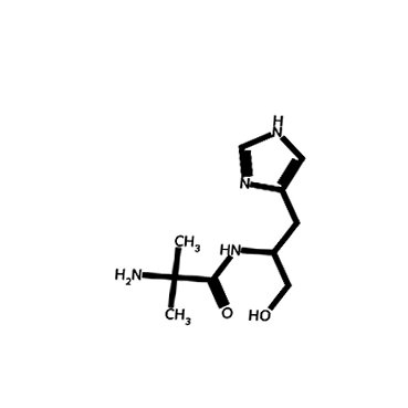 CC(C)(N)C(=O)NC(CO)Cc1c[nH]cn1